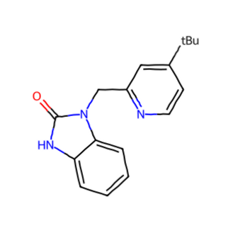 CC(C)(C)c1ccnc(Cn2c(=O)[nH]c3ccccc32)c1